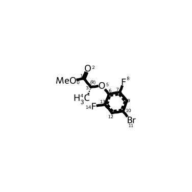 COC(=O)[C@@H](C)Oc1c(F)cc(Br)cc1F